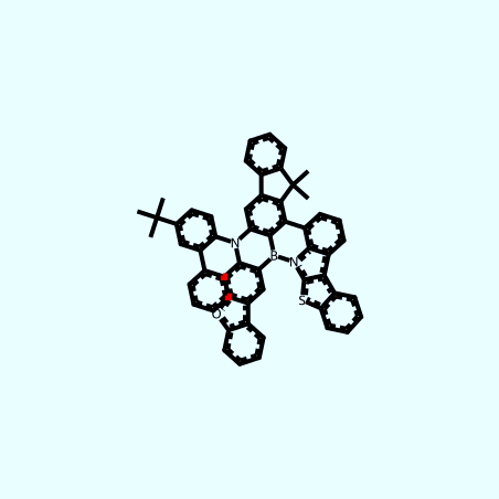 CC(C)(C)c1ccc(N2c3cc4oc5ccccc5c4cc3B3c4c2cc2c(c4-c4cccc5c6c7ccccc7sc6n3c45)C(C)(C)c3ccccc3-2)c(-c2ccccc2)c1